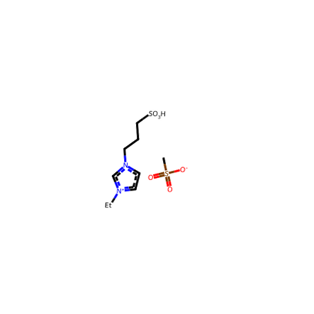 CC[n+]1ccn(CCCS(=O)(=O)O)c1.CS(=O)(=O)[O-]